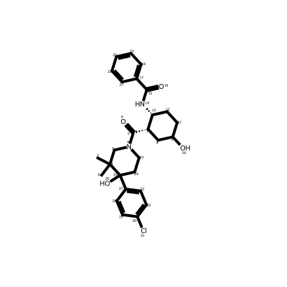 CC1(C)CN(C(=O)[C@H]2CC(O)CC[C@H]2NC(=O)c2ccccc2)CCC1(O)c1ccc(Cl)cc1